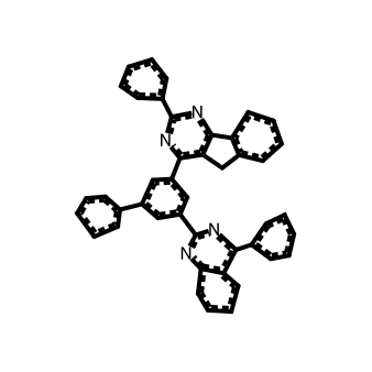 c1ccc(-c2cc(-c3nc(-c4ccccc4)c4ccccc4n3)cc(-c3nc(-c4ccccc4)nc4c3Cc3ccccc3-4)c2)cc1